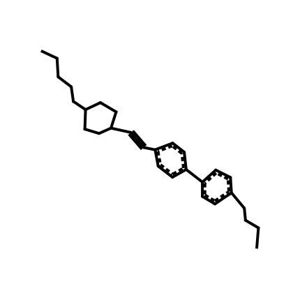 CCCCCC1CCC(C#Cc2ccc(-c3ccc(CCCC)cc3)cc2)CC1